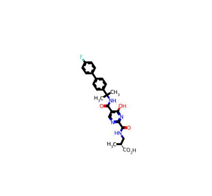 C[C@H](CNC(=O)c1ncc(C(=O)NC(C)(C)c2ccc(-c3ccc(F)cc3)cc2)c(O)n1)C(=O)O